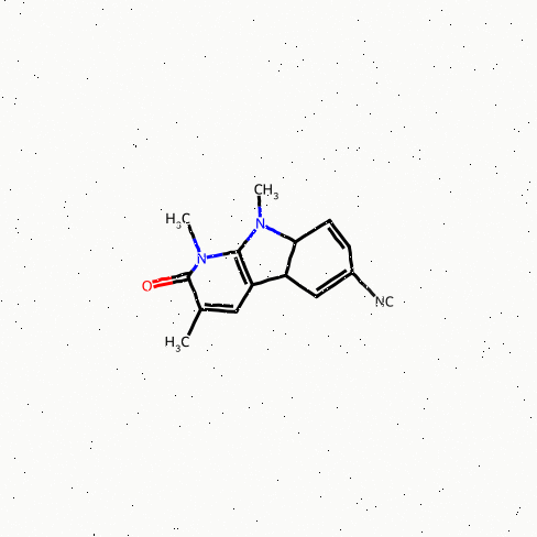 [C-]#[N+]C1=CC2c3cc(C)c(=O)n(C)c3N(C)C2C=C1